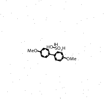 COc1ccc(-c2ccc(OC)cc2)cc1.I.O=S(=O)(O)O